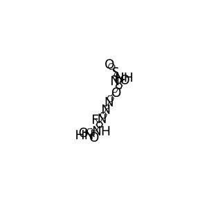 O=C1CCC(Nc2ccc(N3CCC(N4CC(N5CCC(COc6ccc7c(=O)[nH]c(CSC8CCOCC8)nc7c6)CC5)C4)CC3)c(F)c2)C(=O)N1